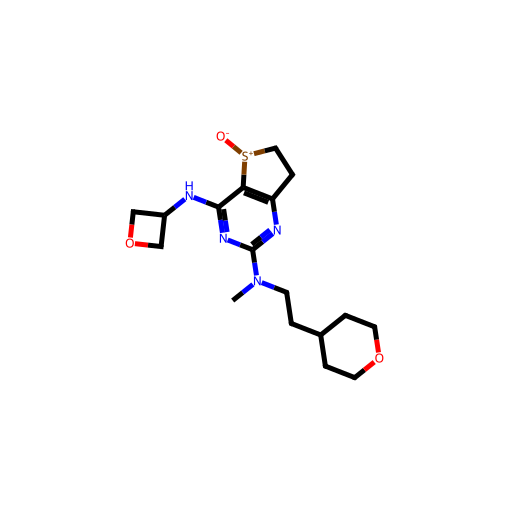 CN(CCC1CCOCC1)c1nc2c(c(NC3COC3)n1)[S+]([O-])CC2